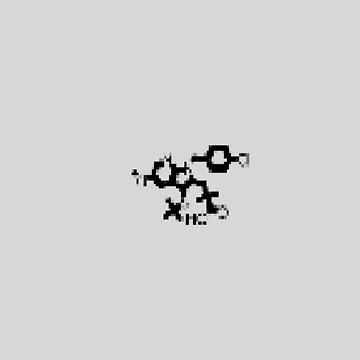 COc1cnc2c(c1)c(SC(C)(C)C)c(CC(C)(C)C(=O)O)n2Cc1ccc(Cl)cc1